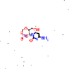 Nc1ccn([C@H]2O[PH](=O)OCOC2CO)c(=O)n1